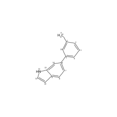 Cc1cccc(-c2ccc3cc[nH]c3c2)c1